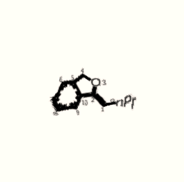 CCC/C=C1\OCc2ccccc21